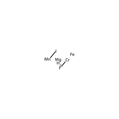 [F][Cr].[Fe].[MgH2].[Mn][I]